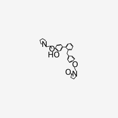 O=C1CCCN1CCOc1ccc(Cc2ccccc2-c2ccc(OCCN3CCCC3)c(O)c2)cc1